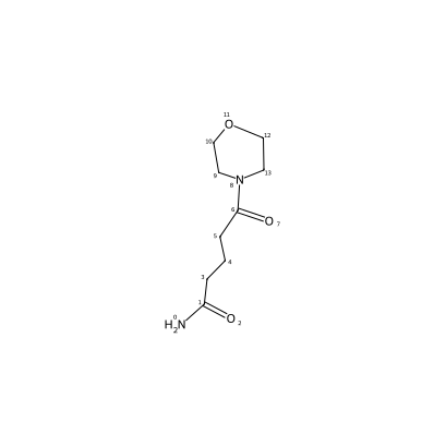 NC(=O)CCCC(=O)N1CCOCC1